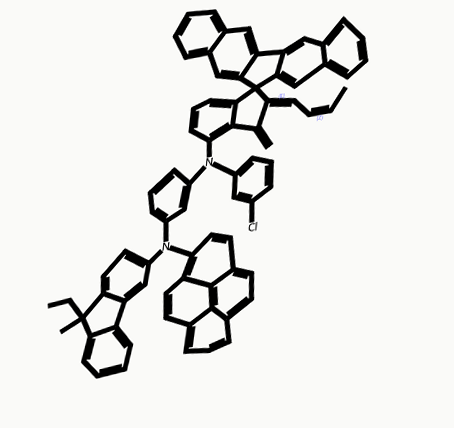 C=C1/C(=C\C=C/C)C2(c3cc4ccccc4cc3-c3cc4ccccc4cc32)c2cccc(N(c3cccc(Cl)c3)c3cccc(N(c4ccc5c(c4)-c4ccccc4C5(C)CC)c4ccc5ccc6cccc7ccc4c5c67)c3)c21